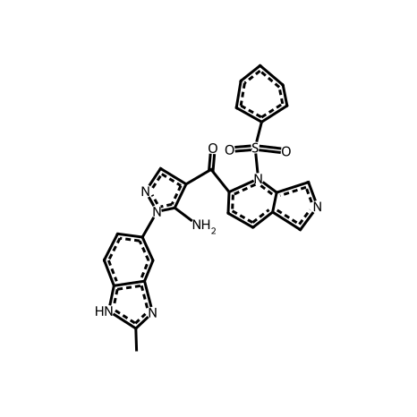 Cc1nc2cc(-n3ncc(C(=O)c4ccc5cncc-5n4S(=O)(=O)c4ccccc4)c3N)ccc2[nH]1